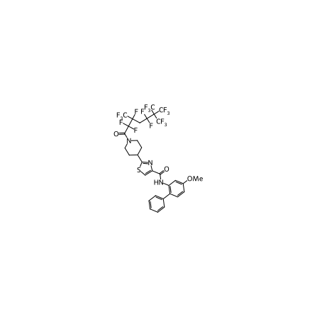 COc1ccc(-c2ccccc2)c(NC(=O)c2csc(C3CCN(C(=O)C(F)(F)C(F)(CC(F)(F)C(C(F)(F)F)(C(F)(F)F)C(F)(F)F)C(F)(F)F)CC3)n2)c1